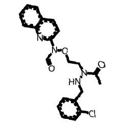 CC(=O)N(CCON(C=O)c1ccc2ccccc2n1)NCc1ccccc1Cl